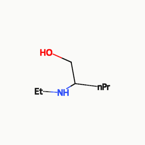 CCCC(CO)NCC